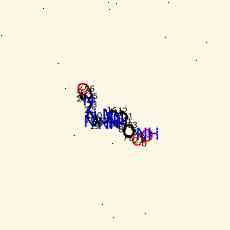 CS(=O)(=O)Nc1cccc(-c2ccc3cnc(Nc4cnn(CCN5CCOCC5)c4)nn23)c1